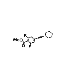 COC(=O)c1c(F)cc(C#CC2CCCCC2)cc1F